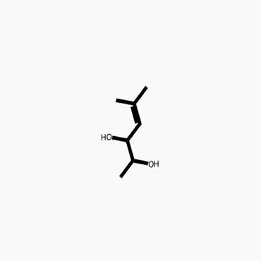 CC(C)=CC(O)C(C)O